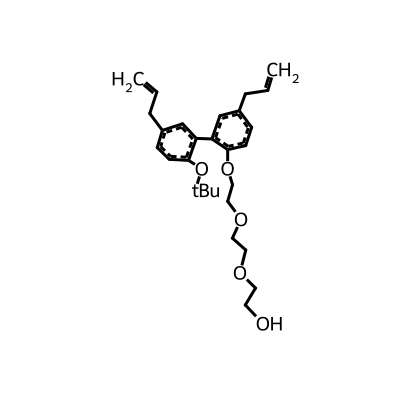 C=CCc1ccc(OCCOCCOCCO)c(-c2cc(CC=C)ccc2OC(C)(C)C)c1